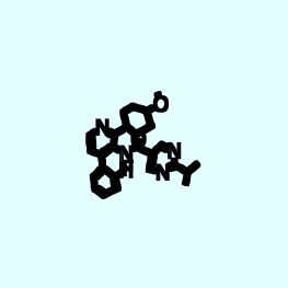 COC1CCC(c2nccc(-c3ccccc3F)c2NC(=O)c2cnc(C(C)C)nc2)CC1